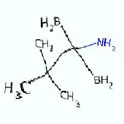 BC(B)(N)C(C)(C)C